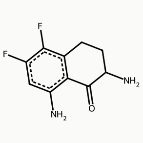 Nc1cc(F)c(F)c2c1C(=O)C(N)CC2